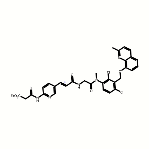 CCOC(=O)CC(=O)Nc1ccc(/C=C/C(=O)NCC(=O)N(C)c2ccc(Cl)c(COc3cccc4ccc(C)nc34)c2Cl)cn1